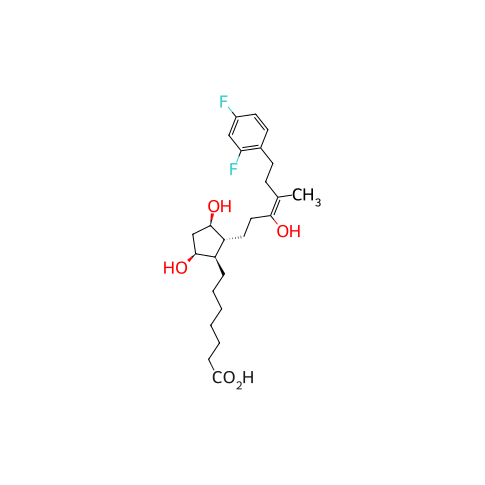 C/C(CCc1ccc(F)cc1F)=C(\O)CC[C@@H]1[C@@H](CCCCCCC(=O)O)[C@@H](O)C[C@H]1O